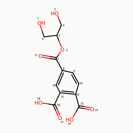 O=C(OC(CO)CO)c1ccc(C(=O)O)c(C(=O)O)c1